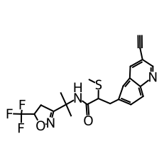 C#Cc1cnc2ccc(CC(SC)C(=O)NC(C)(C)C3=NOC(C(F)(F)F)C3)cc2c1